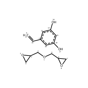 C(OCC1CO1)C1CO1.C=Cc1cc(O)cc(O)c1